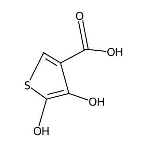 O=C(O)c1csc(O)c1O